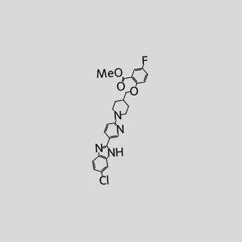 COC(=O)c1cc(F)ccc1OCC1CCN(c2ccc(-c3nc4ccc(Cl)cc4[nH]3)cn2)CC1